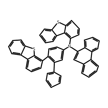 c1ccc(-c2cc(N(c3cc4ccccc4c4ccccc34)c3cccc4sc5ccccc5c34)ccc2-c2cccc3c2sc2ccccc23)cc1